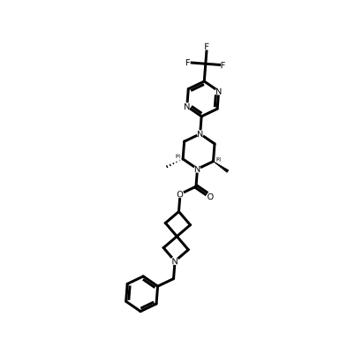 C[C@@H]1CN(c2cnc(C(F)(F)F)cn2)C[C@@H](C)N1C(=O)OC1CC2(C1)CN(Cc1ccccc1)C2